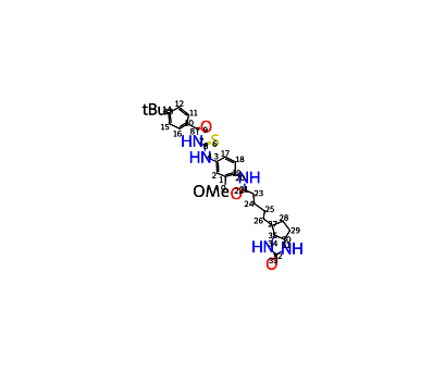 COc1cc(NC(=S)NC(=O)c2ccc(C(C)(C)C)cc2)ccc1NC(=O)CCCCC1CCC2NC(=O)NC12